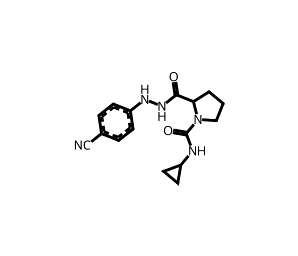 N#Cc1ccc(NNC(=O)C2CCCN2C(=O)NC2CC2)cc1